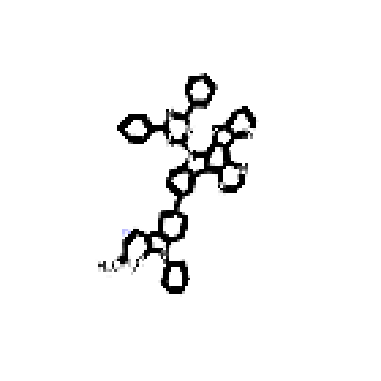 C=C/C=C\c1c(C)n(-c2ccccc2)c2ccc(-c3ccc4c(c3)c3c5nccnc5c5c6ncccc6sc5c3n4-c3nc(-c4ccccc4)nc(-c4ccccc4)n3)cc12